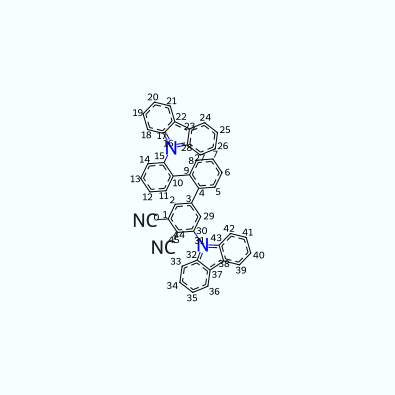 N#Cc1cc(-c2ccccc2-c2ccccc2-n2c3ccccc3c3ccccc32)cc(-n2c3ccccc3c3ccccc32)c1C#N